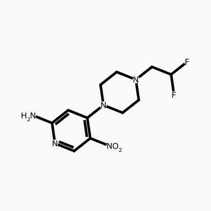 Nc1cc(N2CCN(CC(F)F)CC2)c([N+](=O)[O-])cn1